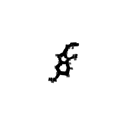 CCn1c(=NOC)sc2cc(N)ccc21